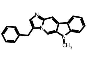 Cn1c2ccccc2c2cc3ncc(Cc4ccccc4)n3cc21